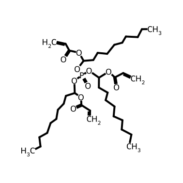 C=CC(=O)OC(CCCCCCCCC)OP(=O)(OC(CCCCCCCCC)OC(=O)C=C)OC(CCCCCCCCC)OC(=O)C=C